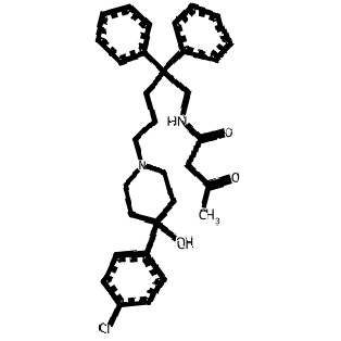 CC(=O)CC(=O)NCC(CCCN1CCC(O)(c2ccc(Cl)cc2)CC1)(c1ccccc1)c1ccccc1